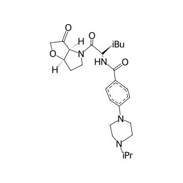 CC[C@H](C)[C@H](NC(=O)c1ccc(N2CCN(C(C)C)CC2)cc1)C(=O)N1CC[C@H]2OCC(=O)[C@H]21